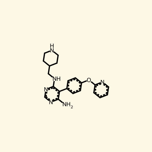 Nc1ncnc(NCC2CCNCC2)c1-c1ccc(Oc2ccccn2)cc1